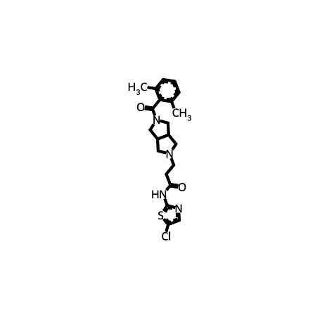 Cc1cccc(C)c1C(=O)N1CC2CN(CCC(=O)Nc3ncc(Cl)s3)CC2C1